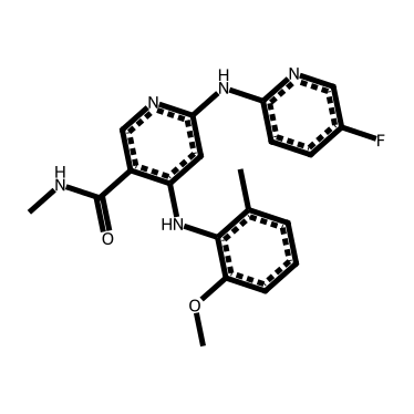 CNC(=O)c1cnc(Nc2ccc(F)cn2)cc1Nc1c(C)cccc1OC